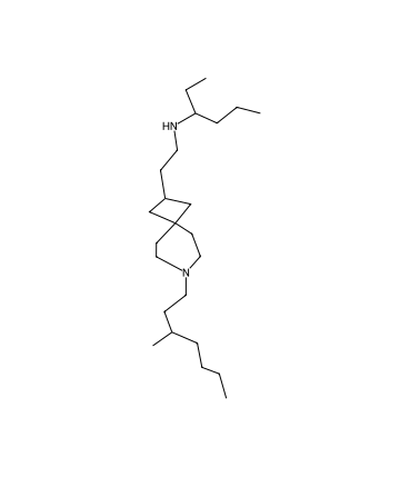 CCCCC(C)CCN1CCC2(CC1)CC(CCNC(CC)CCC)C2